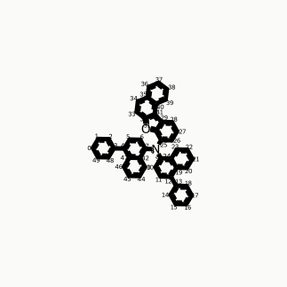 c1ccc(-c2ccc(N(c3ccc(-c4ccccc4)c4ccccc34)c3cccc4c3oc3ccc5ccccc5c34)c3ccccc23)cc1